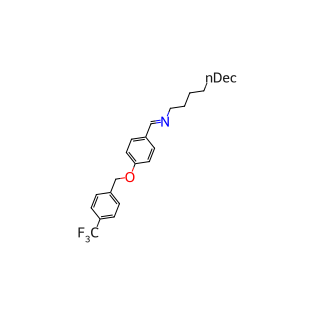 CCCCCCCCCCCCCCN=Cc1ccc(OCc2ccc(C(F)(F)F)cc2)cc1